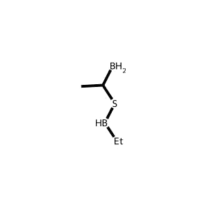 BC(C)SBCC